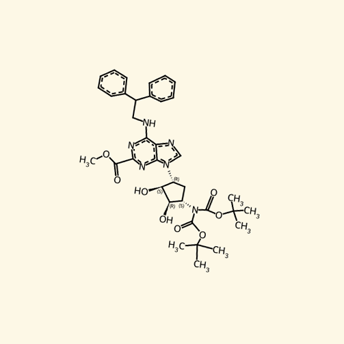 COC(=O)c1nc(NCC(c2ccccc2)c2ccccc2)c2ncn([C@@H]3C[C@H](N(C(=O)OC(C)(C)C)C(=O)OC(C)(C)C)[C@@H](O)[C@H]3O)c2n1